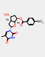 Cc1cn([C@@H]2C[C@@H]3[C@H](O2)[C@H](OC(=O)c2ccc([N+](=O)[O-])cc2)C[C@H]3O)c(=O)[nH]c1=O